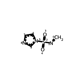 C=NS(=O)(=O)n1ccnc1